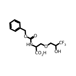 O=C(NC(COCC(O)C(F)(F)F)C(=O)O)OCc1ccccc1